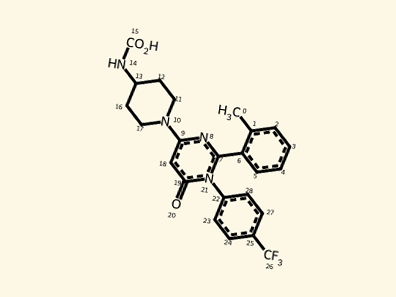 Cc1ccccc1-c1nc(N2CCC(NC(=O)O)CC2)cc(=O)n1-c1ccc(C(F)(F)F)cc1